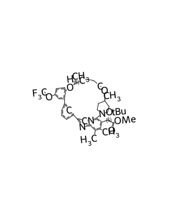 COC(=O)[C@@H](OC(C)(C)C)c1c(C)c(C)c2nc3cn2c1N1CCC(C)(CC1)OCCCC[C@H](C)Oc1ccc(OC(F)(F)F)cc1-c1cccc-3c1